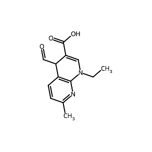 CCN1C=C(C(=O)O)C(C=O)c2ccc(C)nc21